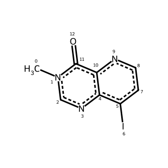 Cn1cnc2c(I)ccnc2c1=O